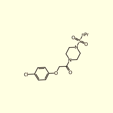 CCCS(=O)(=O)N1CCN(C(=O)COc2ccc(Cl)cc2)CC1